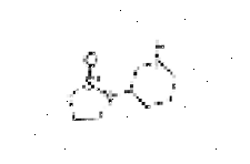 [O-][S+]1CCCN1C1CCCNC1